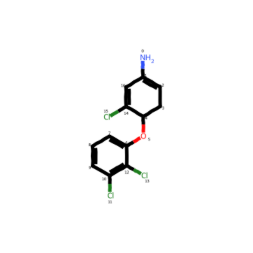 NC1=CCC(Oc2cccc(Cl)c2Cl)C(Cl)=C1